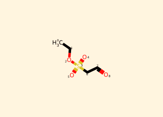 CCOS(=O)(=O)CC=O